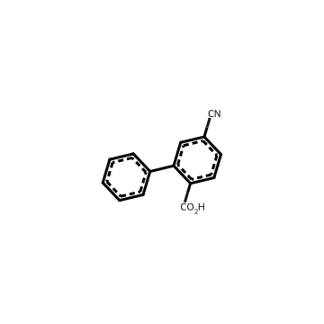 N#Cc1ccc(C(=O)O)c(-c2ccccc2)c1